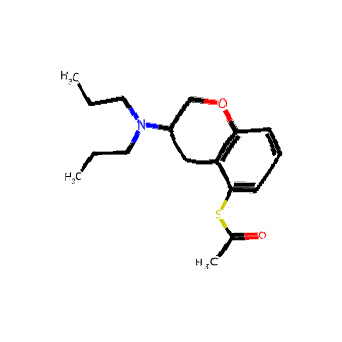 CCCN(CCC)C1COc2cccc(SC(C)=O)c2C1